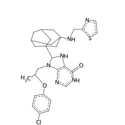 CC(CN1c2nc[nH]c(=O)c2NC1C12CC3CC(CC(NCc4nccs4)(C3)C1)C2)Oc1ccc(Cl)cc1